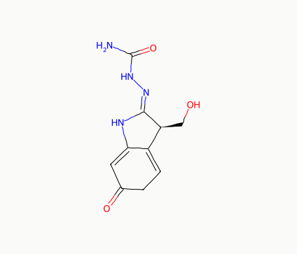 NC(=O)NN=C1NC2=CC(=O)CC=C2[C@@H]1CO